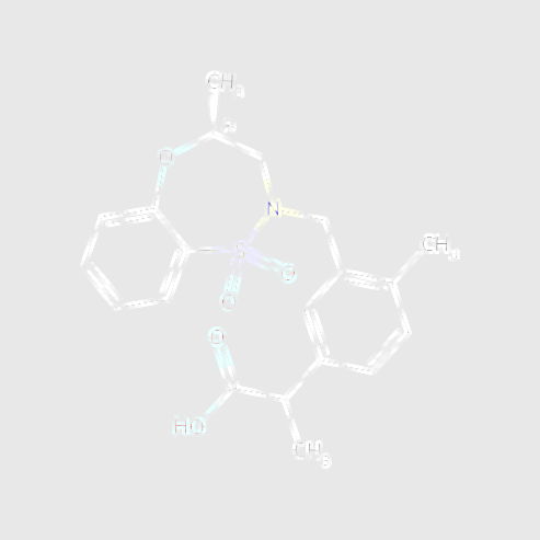 Cc1ccc(C(C)C(=O)O)cc1CN1C[C@@H](C)Oc2ccccc2S1(=O)=O